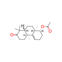 CC(=O)O[C@@H]1CCC=C2[C@@]1(C)CC[C@H]1C(C)(C)C(=O)CC[C@]21C